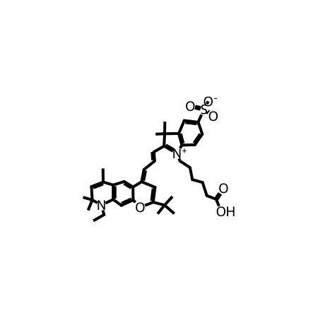 CCN1c2cc3c(cc2C(C)=CC1(C)C)C(=CC=CC1=[N+](CCCCCC(=O)O)c2ccc(S(=O)(=O)[O-])cc2C1(C)C)C=C(C(C)(C)C)O3